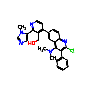 CN(C)c1c(-c2ccccc2)c(Cl)nc2ccc(-c3ccnc(-c4cncn4C)c3CO)cc12